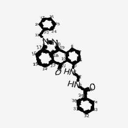 O=C(NCNc1cccc2c1C(=O)c1cccc3c1c-2nn3Cc1ccccc1)c1ccccc1